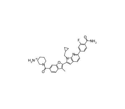 Cc1c(-c2cc3ccc(-c4ccc(C(N)=O)c(F)c4)nc3n2CC2CC2)oc2cc(C(=O)N3CCC[C@@H](N)C3)ccc12